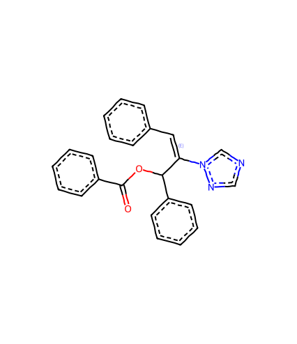 O=C(OC(/C(=C\c1ccccc1)n1cncn1)c1ccccc1)c1ccccc1